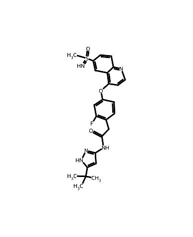 CC(C)(C)c1cc(NC(=O)Cc2ccc(Oc3ccnc4ccc(S(C)(=N)=O)cc34)cc2F)n[nH]1